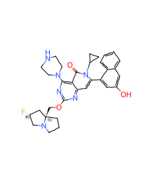 O=c1c2c(N3CCNCC3)nc(OC[C@@]34CCCN3C[C@H](F)C4)nc2cc(-c2cc(O)cc3ccccc23)n1C1CC1